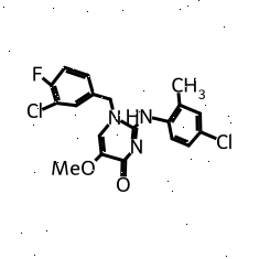 COc1cn(Cc2ccc(F)c(Cl)c2)c(Nc2ccc(Cl)cc2C)nc1=O